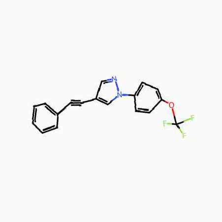 FC(F)(F)Oc1ccc(-n2cc(C#Cc3ccccc3)cn2)cc1